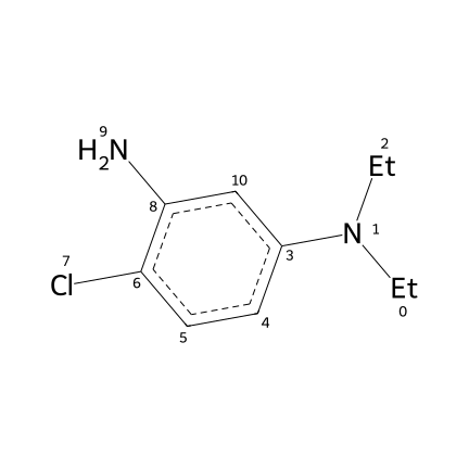 CCN(CC)c1ccc(Cl)c(N)c1